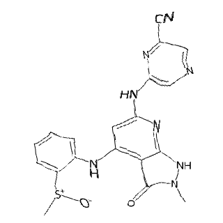 Cn1[nH]c2nc(Nc3cncc(C#N)n3)cc(Nc3ccccc3[S+](C)[O-])c2c1=O